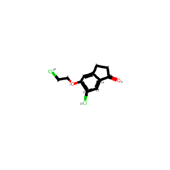 O=C1CCc2cc(OCCCl)c(Cl)cc21